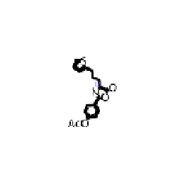 CC(=O)Oc1ccc(C2=N/C(=C\CCc3cccs3)C(=O)O2)cc1